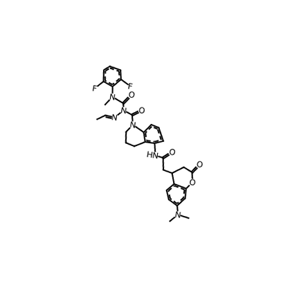 C/C=N/N(C(=O)N(C)c1c(F)cccc1F)C(=O)N1CCCc2c(NC(=O)CC3CC(=O)Oc4cc(N(C)C)ccc43)cccc21